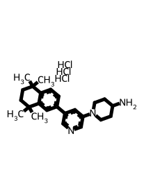 CC1(C)CCC(C)(C)c2cc(-c3cncc(N4CCC(N)CC4)c3)ccc21.Cl.Cl.Cl